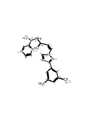 Cc1cc(-c2ncn(/C=C\C(O)NN(C)c3cnccn3)n2)cc(C(F)(F)F)c1